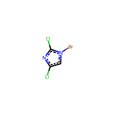 Clc1cn(Br)c(Cl)n1